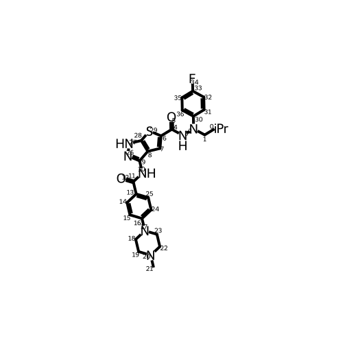 CC(C)CN(NC(=O)c1cc2c(NC(=O)c3ccc(N4CCN(C)CC4)cc3)n[nH]c2s1)c1ccc(F)cc1